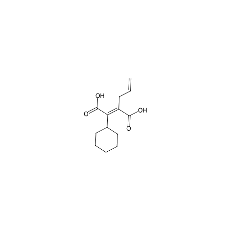 C=CCC(C(=O)O)=C(C(=O)O)C1CCCCC1